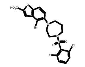 O=C(O)c1cc2c(Br)c(N3CCCN(S(=O)(=O)c4c(Cl)cccc4Cl)CC3)ccc2o1